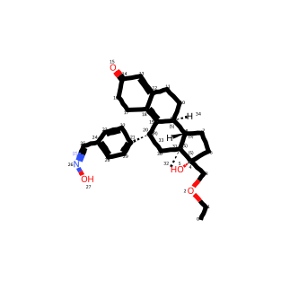 CCOC[C@]1(O)CC[C@H]2[C@@H]3CCC4=CC(=O)CCC4=C3[C@@H](c3ccc(/C=N\O)cc3)C[C@@]21C